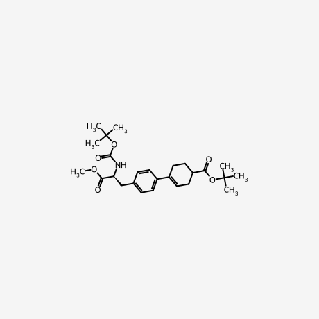 COC(=O)[C@H](Cc1ccc(C2=CCC(C(=O)OC(C)(C)C)CC2)cc1)NC(=O)OC(C)(C)C